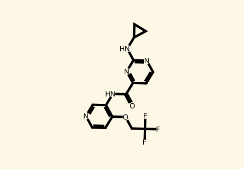 O=C(Nc1cnccc1OCC(F)(F)F)c1ccnc(NC2CC2)n1